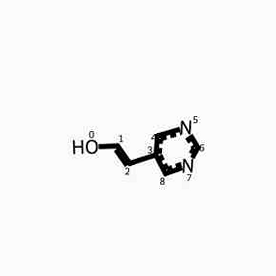 OC=Cc1cncnc1